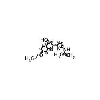 CCCOc1ccc2c(O)cc(-c3csc(NC(C)C)n3)nc2c1